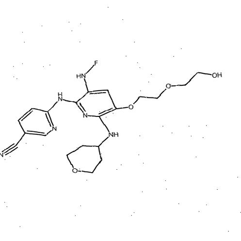 N#Cc1ccc(Nc2nc(NC3CCOCC3)c(OCCOCCO)cc2NF)nc1